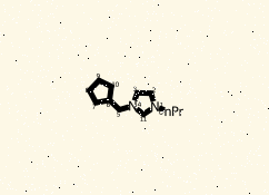 CCCN1CCN(CC2CCCC2)C1